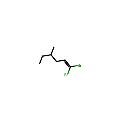 CCC(C)CC=C(Br)Br